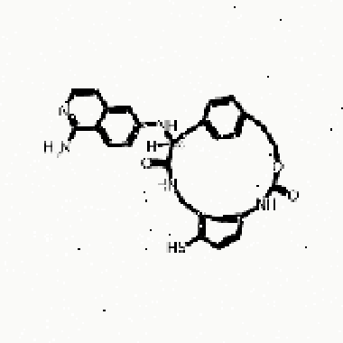 Nc1nccc2cc(N[C@H]3C(=O)NCc4cc(ccc4S)NC(=O)OCCc4ccc3cc4)ccc12